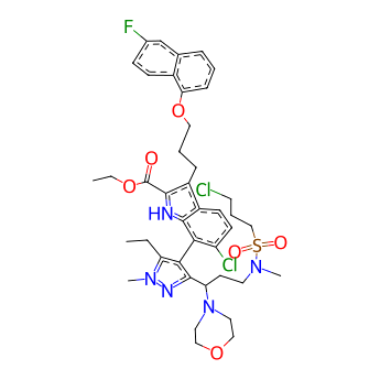 CCOC(=O)c1[nH]c2c(-c3c(C(CCN(C)S(=O)(=O)CCCCl)N4CCOCC4)nn(C)c3CC)c(Cl)ccc2c1CCCOc1cccc2cc(F)ccc12